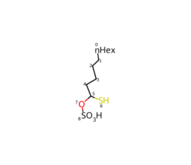 CCCCCCCCCCC(S)OS(=O)(=O)O